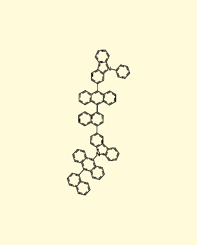 c1ccc(-n2c3ccccc3c3ccc(-c4c5ccccc5c(-c5ccc(-c6ccc7c(c6)c6ccccc6n7-c6c7ccccc7c(-c7cccc8ccccc78)c7ccccc67)c6ccccc56)c5ccccc45)cc32)cc1